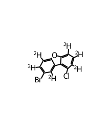 [2H]c1c(Br)c([2H])c2c(oc3c([2H])c([2H])c([2H])c(Cl)c32)c1[2H]